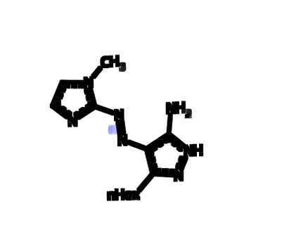 CCCCCCc1n[nH]c(N)c1/N=N/c1nccn1C